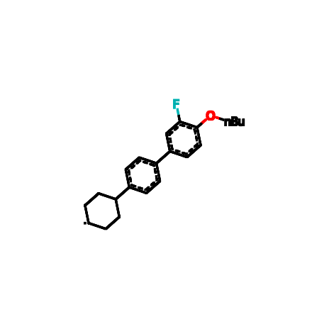 CCCCOc1ccc(-c2ccc(C3CC[CH]CC3)cc2)cc1F